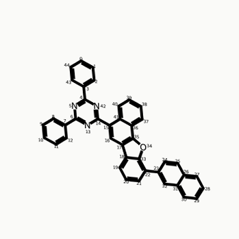 c1ccc(-c2nc(-c3ccccc3)nc(-c3cc4c5cccc(-c6ccc7ccccc7c6)c5oc4c4ccccc34)n2)cc1